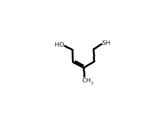 CC(=CCO)CCS